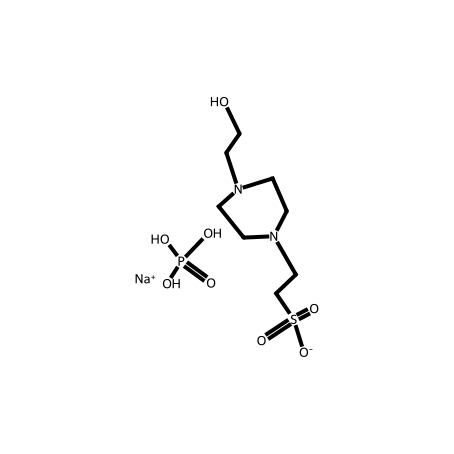 O=P(O)(O)O.O=S(=O)([O-])CCN1CCN(CCO)CC1.[Na+]